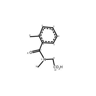 Cc1ccccc1C(=O)N(C)CC(=O)O